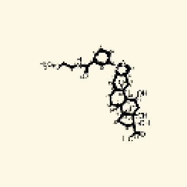 COCCNC(=O)c1cccc(-n2ncc3c2C=C2CC[C@@H]4[C@H]([C@@H](O)C[C@@]5(C)[C@H]4CC[C@]5(O)C(=O)O)[C@@]2(C)C3)c1